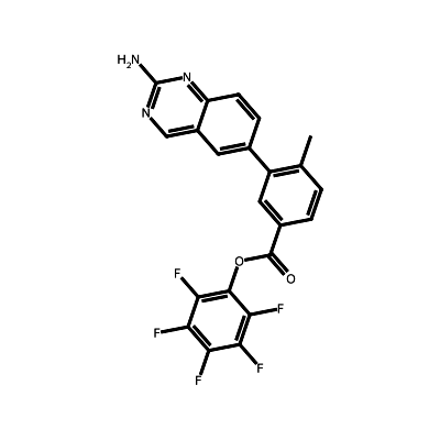 Cc1ccc(C(=O)Oc2c(F)c(F)c(F)c(F)c2F)cc1-c1ccc2nc(N)ncc2c1